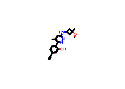 C#Cc1ccc(-c2nnc(NC3CC(C)(OC)C3)cc2C)c(O)c1